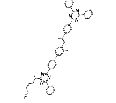 C/C(=C\c1ccc(-c2ccc(-c3nc(/C(C)=C/C=C\CF)nc(-c4ccccc4)n3)cc2)cc1C)c1ccc(-c2nc(-c3ccccc3)nc(-c3ccccc3)n2)cc1